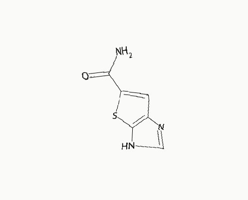 NC(=O)c1cc2nc[nH]c2s1